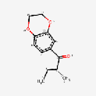 CC[C@@H](C)C(=O)c1ccc2c(c1)OCCO2